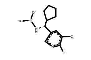 CC(C)(C)[S@@+]([O-])N[C@@H](c1cnc(Cl)c(Cl)c1)C1CCCC1